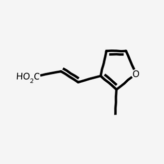 Cc1occc1C=CC(=O)O